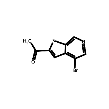 CC(=O)c1cc2c(Br)cncc2s1